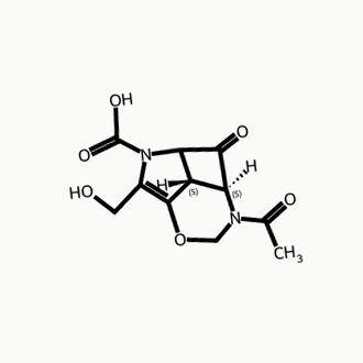 CC(=O)N1COC2=C(CO)N(C(=O)O)C3C(=O)[C@@H]1[C@H]23